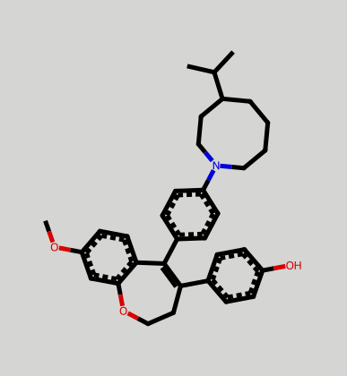 COc1ccc2c(c1)OCCC(c1ccc(O)cc1)=C2c1ccc(N2CCCCC(C(C)C)CC2)cc1